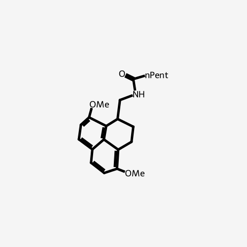 CCCCCC(=O)NCC1CCc2c(OC)ccc3ccc(OC)c1c23